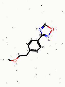 COCCc1ccc(-c2ncon2)cc1